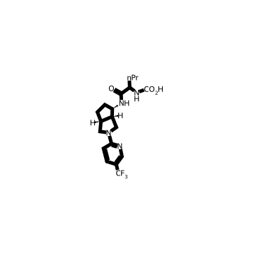 CCCC(NC(=O)O)C(=O)N[C@H]1CC[C@@H]2CN(c3ccc(C(F)(F)F)cn3)C[C@@H]21